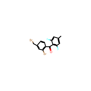 Cc1cc(F)c(C(=O)c2ccc(CBr)cc2Br)c(F)c1